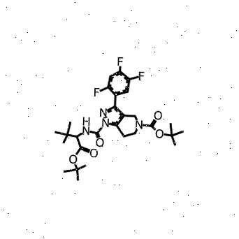 CC(C)(C)OC(=O)C(NC(=O)n1nc(-c2cc(F)c(F)cc2F)c2c1CCN(C(=O)OC(C)(C)C)C2)C(C)(C)C